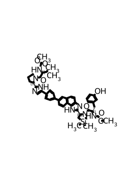 COC(=O)N[C@@H](Cc1cccc(O)c1)C(=O)N1C[Si](C)(C)C[C@H]1c1nc2ccc3cc(-c4ccc(-c5cnc([C@@H]6CCCN6C(=O)[C@@H](NC(=O)OC)C(C)C)[nH]5)cc4)ccc3c2[nH]1